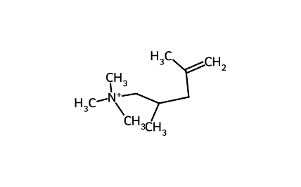 C=C(C)CC(C)C[N+](C)(C)C